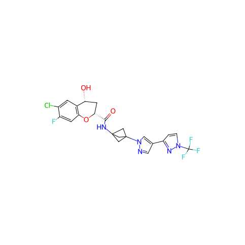 O=C(NC12CC(n3cc(-c4ccn(C(F)(F)F)n4)cn3)(C1)C2)[C@H]1C[C@@H](O)c2cc(Cl)c(F)cc2O1